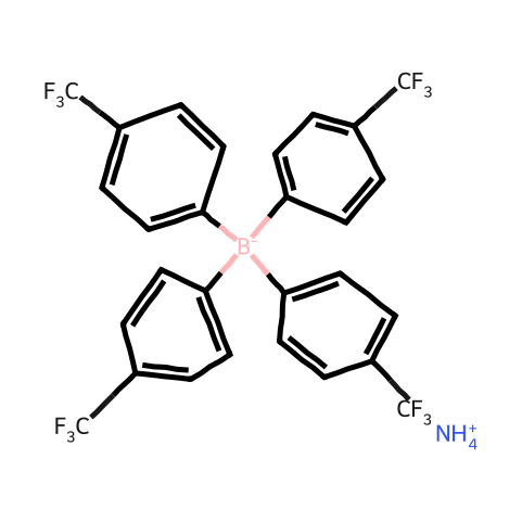 FC(F)(F)c1ccc([B-](c2ccc(C(F)(F)F)cc2)(c2ccc(C(F)(F)F)cc2)c2ccc(C(F)(F)F)cc2)cc1.[NH4+]